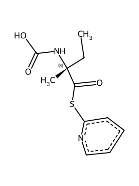 CC[C@@](C)(NC(=O)O)C(=O)Sc1ccccn1